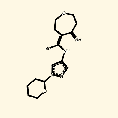 N=C1CCOCC/C1=C(\Br)Nc1cnn(C2CCCCO2)c1